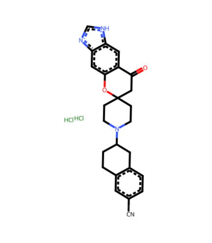 Cl.Cl.N#Cc1ccc2c(c1)CCC(N1CCC3(CC1)CC(=O)c1cc4[nH]cnc4cc1O3)C2